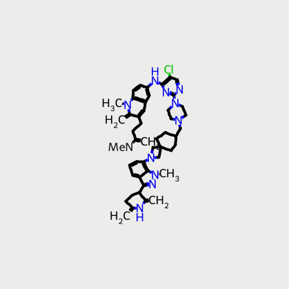 C=C(CCC1=Cc2cc(Nc3nc(N4CCN(CC5CCC6(CC5)CN(c5cccc7c(C8CCC(=C)NC8=C)nn(C)c57)C6)CC4)ncc3Cl)ccc2N(C)C1=C)NC